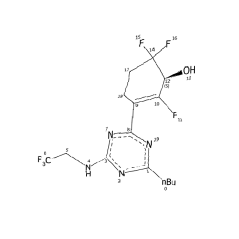 CCCCc1nc(NCC(F)(F)F)nc(C2=C(F)[C@H](O)C(F)(F)CC2)n1